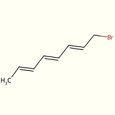 C/C=C/C=C/C=C/CBr